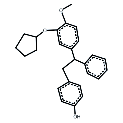 COc1ccc(C(Cc2ccc(O)cc2)c2ccccc2)cc1OC1CCCC1